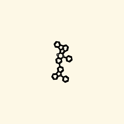 c1ccc(N2c3cc(-c4ccc5c(c4)c4ccccc4n5-c4ccccc4)ccc3Oc3c2c2cccc4c5ccccc5c3n24)cc1